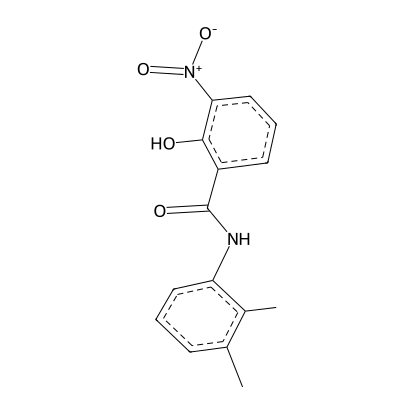 Cc1cccc(NC(=O)c2cccc([N+](=O)[O-])c2O)c1C